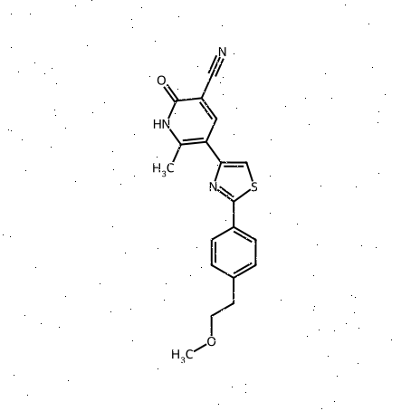 COCCc1ccc(-c2nc(-c3cc(C#N)c(=O)[nH]c3C)cs2)cc1